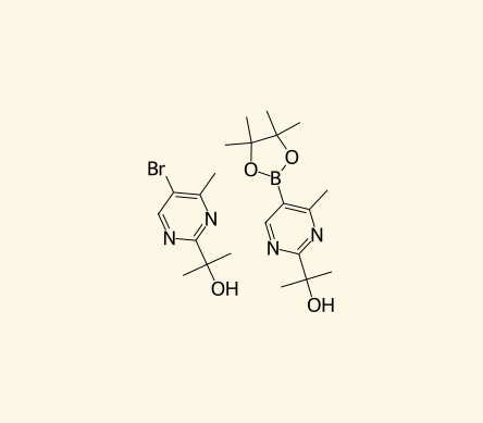 Cc1nc(C(C)(C)O)ncc1B1OC(C)(C)C(C)(C)O1.Cc1nc(C(C)(C)O)ncc1Br